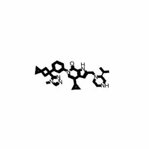 CC(C)[C@H]1CNCCN1Cc1cc2c(C3CC3)cn(-c3cccc(C4(c5nncn5C)CC5(CC5)C4)c3)c(=O)c2[nH]1